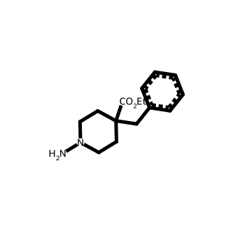 CCOC(=O)C1(Cc2ccccc2)CCN(N)CC1